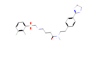 Cc1c(Cl)cccc1S(=O)(=O)CNCCCC(=O)N(C)CCc1ccc(C2=NCCN2)cc1